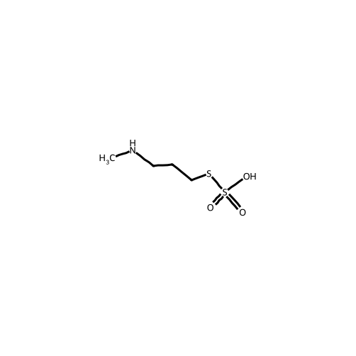 CNCCCSS(=O)(=O)O